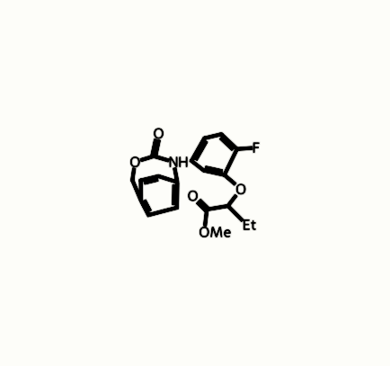 CCC(Oc1ccccc1F)C(=O)OC.O=C1Nc2ccc(cc2)CO1